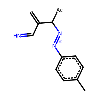 C=C(C=N)C(/N=N/c1ccc(C)cc1)C(C)=O